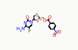 Nc1nc(=O)n([C@H]2CS[C@H](COC(=O)c3ccc([N+](=O)[O-])cc3)S2)cc1F